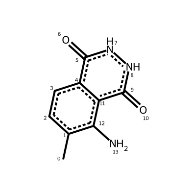 Cc1ccc2c(=O)[nH][nH]c(=O)c2c1N